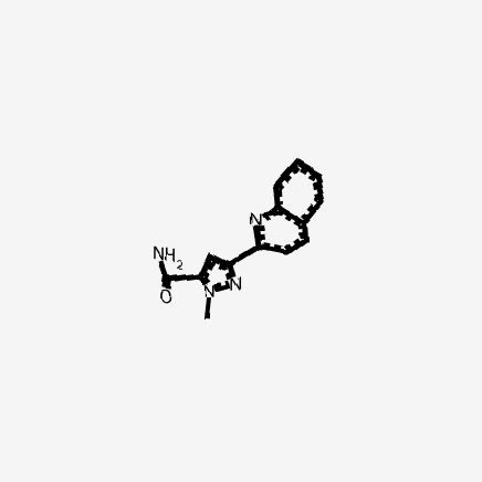 Cn1nc(-c2ccc3ccccc3n2)cc1C(N)=O